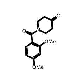 COc1ccc(C(=O)N2CCC(=O)CC2)c(OC)c1